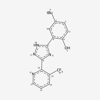 CC(C)(C)c1ccc(O)c(-c2nc(-c3ncccc3C(F)(F)F)n[nH]2)c1